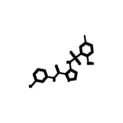 COc1ccc(C)cc1S(=O)(=O)Nc1ccsc1C(=O)Nc1cccc(Cl)c1